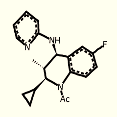 CC(=O)N1c2ccc(F)cc2[C@H](Nc2ccccn2)[C@@H](C)[C@@H]1C1CC1